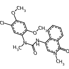 COc1cc(OC)c(N(C)C(=O)Nc2cn(C)c(=O)c3ccccc23)cc1Cl